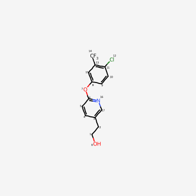 OCCc1ccc(Oc2ccc(Cl)c(C(F)(F)F)c2)nc1